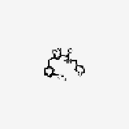 O=C(NCC1CCOC1)c1cc(Cc2cccc(C(F)(F)F)c2)on1